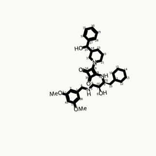 COc1cc(CNC[C@H](O)[C@H](CC2CCCCC2)Nc2c(N3CCCC(C(O)c4ccccc4)C3)c(=O)c2=O)cc(OC)c1